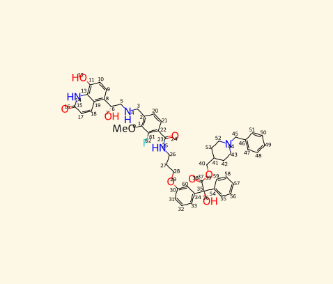 COc1c(CNC[C@H](O)c2ccc(O)c3[nH]c(=O)ccc23)ccc(C(=O)NCCCOc2cccc([C@](O)(C(=O)OCC3CCN(Cc4ccccc4)CC3)c3ccccc3)c2)c1F